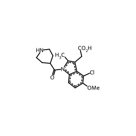 COc1ccc2c(c1Cl)c(CC(=O)O)c(C)n2C(=O)C1CCNCC1